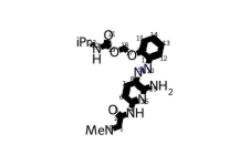 CNCC(=O)Nc1ccc(/N=N/c2ccccc2OCOC(=O)NC(C)C)c(N)n1